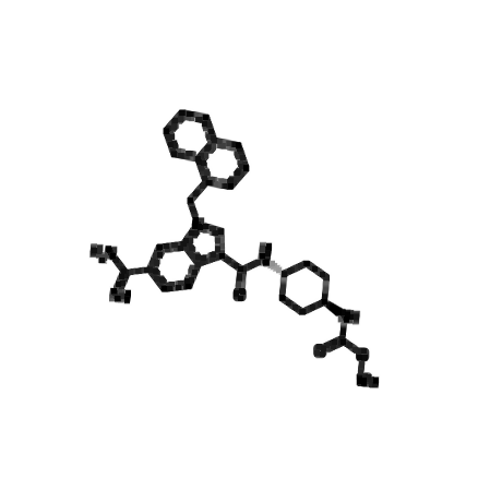 CC(C)(C)OC(=O)N[C@H]1CC[C@H](NC(=O)c2cn(Cc3cccc4ccccc34)c3cc(C(=N)N)ccc23)CC1